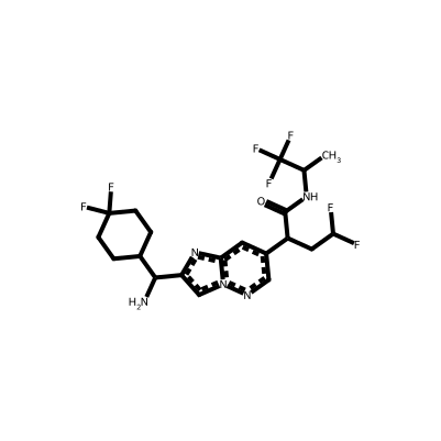 CC(NC(=O)C(CC(F)F)c1cnn2cc(C(N)C3CCC(F)(F)CC3)nc2c1)C(F)(F)F